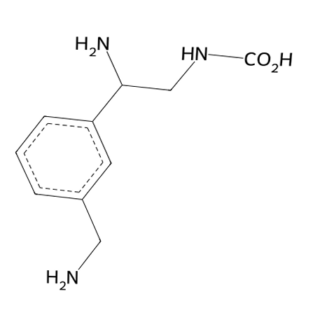 NCc1cccc(C(N)CNC(=O)O)c1